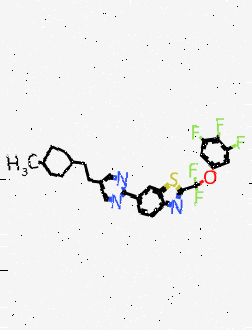 CC1CCC(CCc2cnc(-c3ccc4nc(C(F)(F)Oc5cc(F)c(F)c(F)c5)sc4c3)nc2)CC1